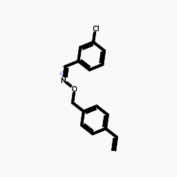 C=Cc1ccc(CO/N=[C]\c2cccc(Cl)c2)cc1